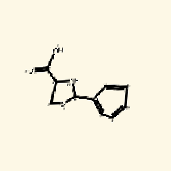 O=C(O)C1CSC(c2ccccc2)N1